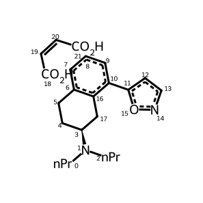 CCCN(CCC)[C@H]1CCc2cccc(-c3ccno3)c2C1.O=C(O)/C=C\C(=O)O